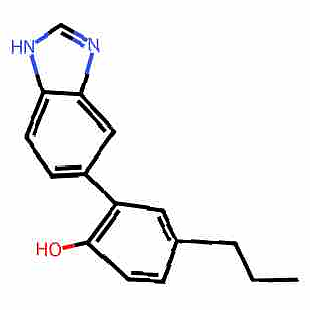 CCCc1ccc(O)c(-c2ccc3[nH]cnc3c2)c1